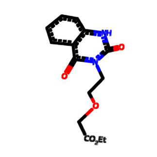 CCOC(=O)COCCn1c(=O)[nH]c2ccccc2c1=O